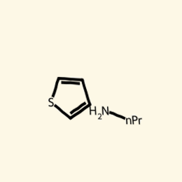 CCCN.c1ccsc1